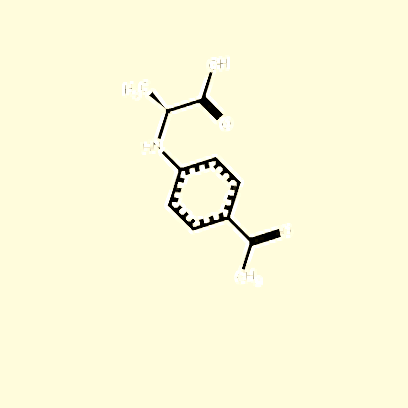 CC(=O)c1ccc(N[C@@H](C)C(=O)O)cc1